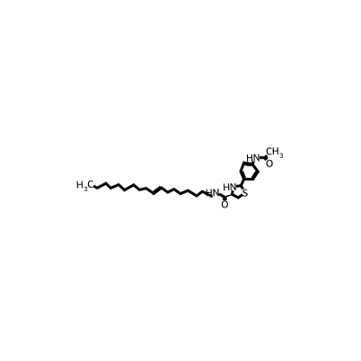 CCCCCCCCC/C=C/CCCCCCCNC(=O)[C@@H]1CSC(c2ccc(NC(C)=O)cc2)N1